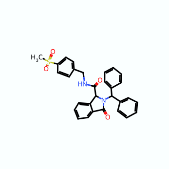 CS(=O)(=O)c1ccc(CNC(=O)C2c3ccccc3C(=O)N2C(c2ccccc2)c2ccccc2)cc1